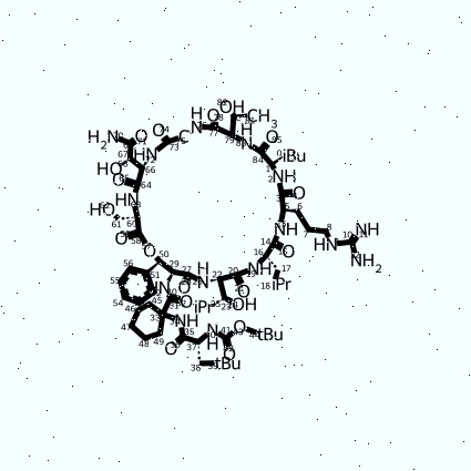 CC[C@H](C)C1NC(=O)[C@@H](CCCNC(=N)N)NC(=O)[C@H](CC(C)C)NC(=O)[C@H]([C@H](O)C(C)C)NC(=O)[C@@H](NC(=O)C2(NC(=O)[C@@H](CC(C)(C)C)NC(=O)OC(C)(C)C)CCCCC2)[C@@H](c2ccccc2)OC(=O)[C@H](CO)NC(=O)[C@H]([C@H](O)C(N)=O)NC(=O)CNC(=O)C([C@H](C)O)NC1=O